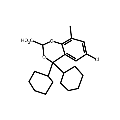 Cc1cc(Cl)cc2c1OC(C(=O)O)OC2(C1CCCCC1)C1CCCCC1